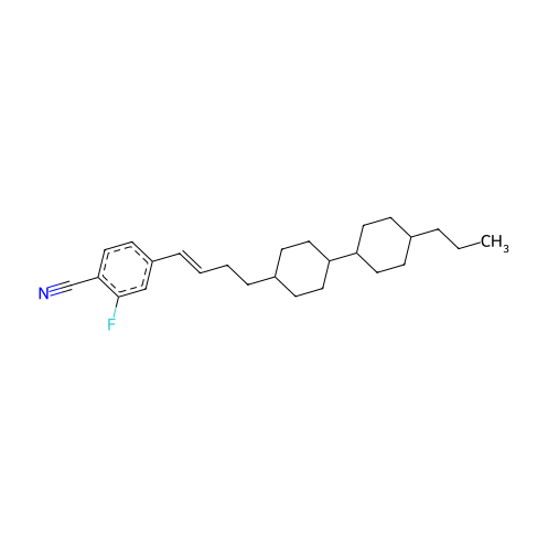 CCCC1CCC(C2CCC(CCC=Cc3ccc(C#N)c(F)c3)CC2)CC1